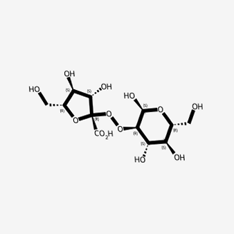 O=C(O)[C@@]1(OO[C@@H]2[C@@H](O)[C@H](O)[C@@H](CO)O[C@@H]2O)O[C@H](CO)[C@@H](O)[C@@H]1O